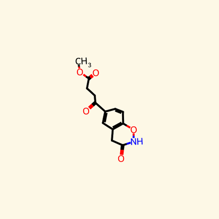 COC(=O)CCC(=O)c1ccc2c(c1)CC(=O)NO2